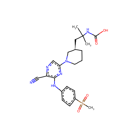 CC(C)(C[C@H]1CCCN(c2cnc(C#N)c(Nc3ccc(S(C)(=O)=O)cc3)n2)C1)NC(=O)O